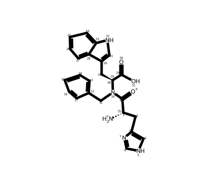 N[C@@H](Cc1c[nH]cn1)C(=O)N(Cc1ccccc1)[C@@H](Cc1c[nH]c2ccccc12)C(=O)O